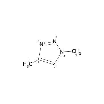 CC1=CN(C)N=[N+]1